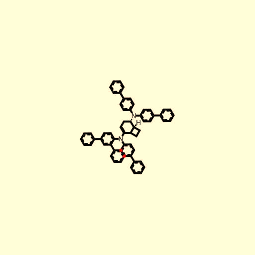 C1=C(N(c2ccc(-c3ccccc3)cc2)c2ccc(-c3ccccc3)cc2-c2ccccc2)C2CC[C@H]2[C@@H](N(c2ccc(-c3ccccc3)cc2)c2ccc(-c3ccccc3)cc2)C1